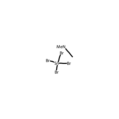 CNC.[Br][Sn]([Br])([Br])[Br]